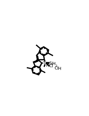 CC1=Cc2c(C)ccc(C)c2[CH]1[Ti]([CH3])([CH3])(=[SiH2])[CH]1C(C)=Cc2c(C)ccc(C)c21.Cl.Cl